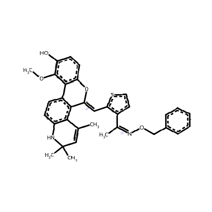 COc1c(O)ccc2c1-c1ccc3c(c1/C(=C/c1sccc1/C(C)=N\OCc1ccccc1)O2)C(C)=CC(C)(C)N3